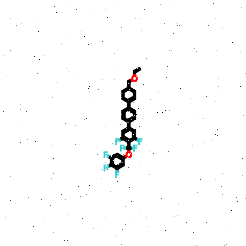 CCOCC1CC=C(c2ccc(-c3cc(F)c(C(F)(F)Oc4cc(F)c(F)c(F)c4)c(F)c3)cc2)CC1